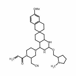 C=CC(=O)N1CCN(C2NC(OCC3CCCN3C)NC3CC4(CCc5cc(OC)ccc5C4)CCC32)CC1CC#N